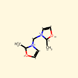 CC1OC=CN1CN1C=COC1C